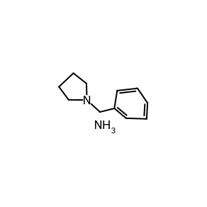 N.c1ccc(CN2CCCC2)cc1